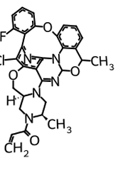 C=CC(=O)N1C[C@H]2COc3c(Cl)c4nc5c3C(=NC3OC(C)c6cccc(c6N53)Oc3cccc(F)c3-4)N2C[C@H]1C